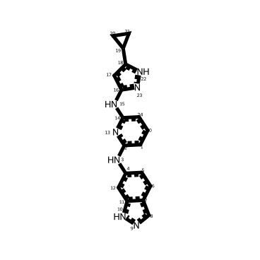 c1cc(Nc2ccc3cn[nH]c3c2)nc(Nc2cc(C3CC3)[nH]n2)c1